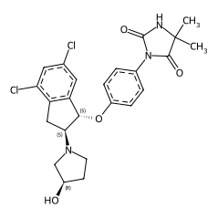 CC1(C)NC(=O)N(c2ccc(O[C@H]3c4cc(Cl)cc(Cl)c4C[C@@H]3N3CC[C@@H](O)C3)cc2)C1=O